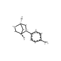 Nc1ccc(N2C[C@H]3C[C@H]2CO3)nc1